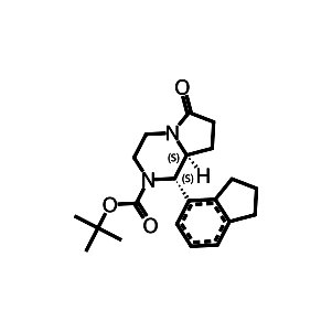 CC(C)(C)OC(=O)N1CCN2C(=O)CC[C@H]2[C@@H]1c1cccc2c1CCC2